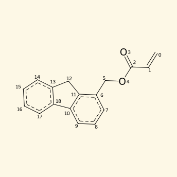 C=CC(=O)OCc1cccc2c1Cc1ccccc1-2